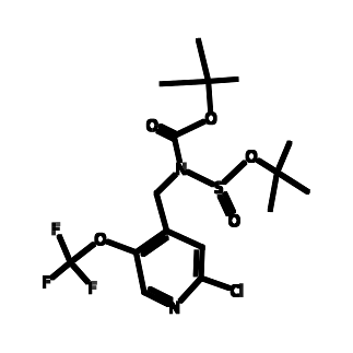 CC(C)(C)OC(=O)N(Cc1cc(Cl)ncc1OC(F)(F)F)S(=O)OC(C)(C)C